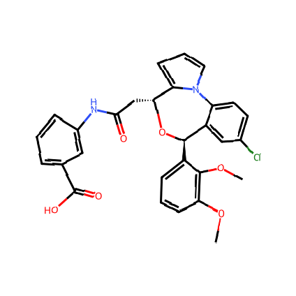 COc1cccc([C@H]2O[C@H](CC(=O)Nc3cccc(C(=O)O)c3)c3cccn3-c3ccc(Cl)cc32)c1OC